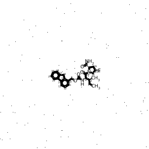 CC[C@H](C)[C@H](NC(=O)OCc1cccc2c1Cc1ccccc1-2)C(=O)N1C[C@H](F)C[C@H]1C(N)=O